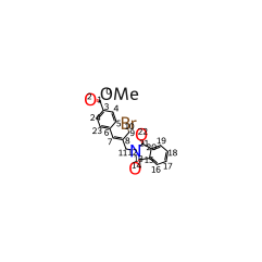 COC(=O)c1ccc(C=C(CBr)CN2C(=O)c3ccccc3C2=O)cc1